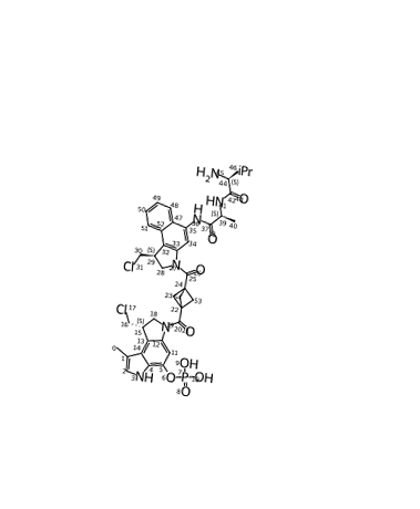 Cc1c[nH]c2c(OP(=O)(O)O)cc3c(c12)[C@H](CCl)CN3C(=O)C12CC(C(=O)N3C[C@@H](CCl)c4c3cc(NC(=O)[C@H](C)NC(=O)[C@@H](N)C(C)C)c3ccccc43)(C1)C2